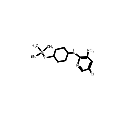 CC(C)(C)[Si](C)(C)OC1CCC(Nc2ncc(Cl)cc2[N+](=O)[O-])CC1